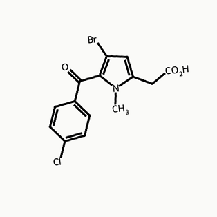 Cn1c(CC(=O)O)cc(Br)c1C(=O)c1ccc(Cl)cc1